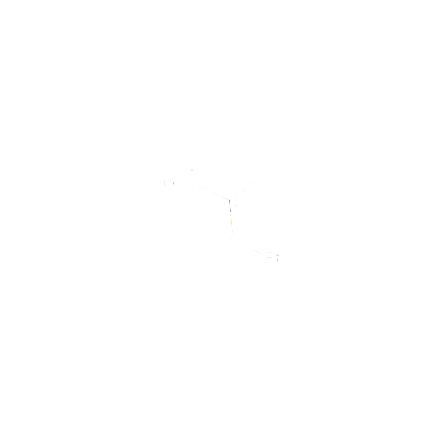 CCSC(C)[C]=O